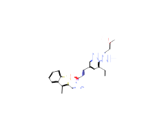 CCc1cc(/C=C/C(=O)N(C)Cc2sc3ccccc3c2C)cnc1NCCC(C)=O